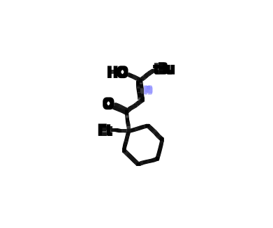 CCC1(C(=O)/C=C(\O)C(C)(C)C)CCCCC1